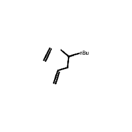 C=C.C=CCC(C)CCCC